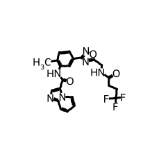 Cc1ccc(-c2noc(CNC(=O)CCC(F)(F)F)n2)cc1NC(=O)c1cnc2ccccn12